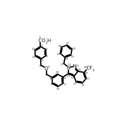 O=C(O)c1ccc(COCc2cccc(-c3c4cccc(C(F)(F)F)c4nn3Cc3ccccc3)c2)cc1